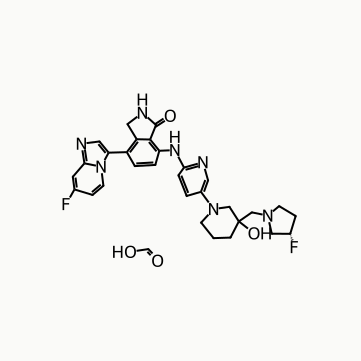 O=C1NCc2c(-c3cnc4cc(F)ccn34)ccc(Nc3ccc(N4CCCC(O)(CN5CC[C@H](F)C5)C4)cn3)c21.O=CO